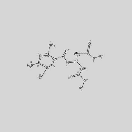 CC(C)OC(=O)NC(=NC(=O)c1nc(Cl)c(N)nc1N)NC(=O)OC(C)C